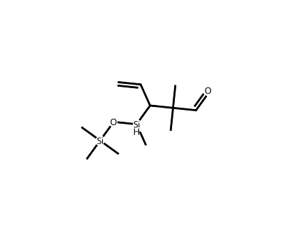 C=CC([SiH](C)O[Si](C)(C)C)C(C)(C)C=O